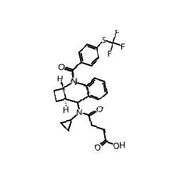 O=C(O)CCC(=O)N(C1CC1)C1c2ccccc2N(C(=O)c2ccc(SC(F)(F)F)cc2)[C@H]2CC[C@H]12